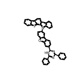 c1ccc(C2=NC(c3ccc4c(c3)oc3ccc(-n5c6ccccc6c6ccc7c8ccccc8sc7c65)cc34)NC(c3ccccc3)=N2)cc1